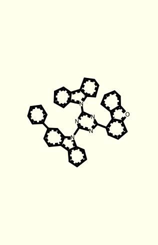 c1ccc(-c2ccc3c4ccccc4n(-c4nc(-c5cccc6oc7ccccc7c56)nc(-n5c6ccccc6c6ccccc65)n4)c3c2)cc1